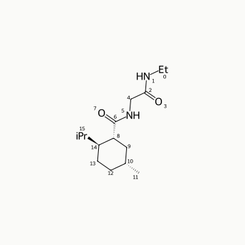 CCNC(=O)CNC(=O)[C@@H]1C[C@H](C)CC[C@H]1C(C)C